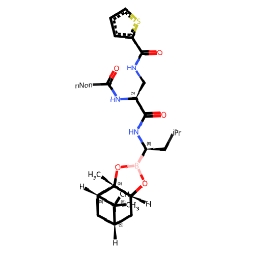 CCCCCCCCCC(=O)N[C@@H](CNC(=O)c1cccs1)C(=O)N[C@@H](CC(C)C)B1O[C@@H]2C[C@@H]3C[C@@H](C3(C)C)[C@]2(C)O1